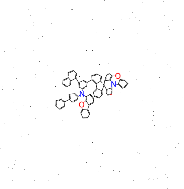 c1ccc(-c2ccc(N(c3cc(-c4cccc5c4-c4ccccc4C54c5ccccc5N5c6ccccc6Oc6cccc4c65)cc(-c4cccc5ccccc45)c3)c3cccc4c3oc3ccccc34)cc2)cc1